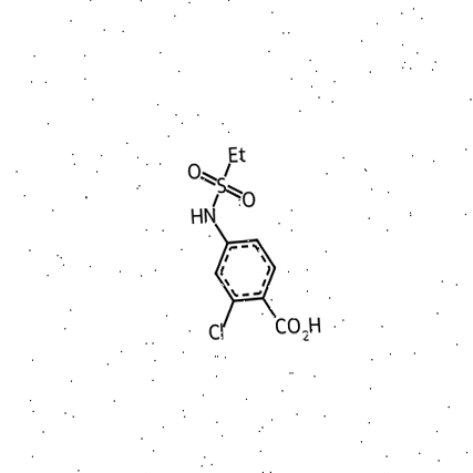 CCS(=O)(=O)Nc1ccc(C(=O)O)c(Cl)c1